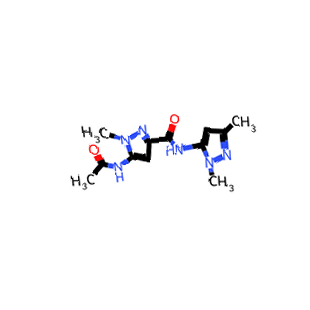 CC(=O)Nc1cc(C(=O)Nc2cc(C)nn2C)nn1C